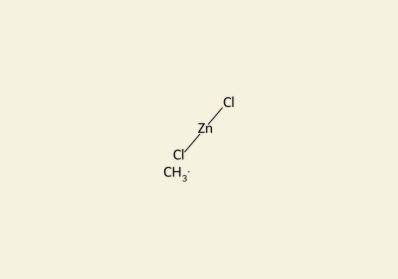 [CH3].[Cl][Zn][Cl]